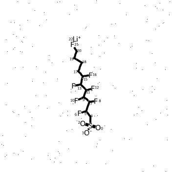 O=S(=O)([O-])CC(F)C(F)C(F)C(F)C(F)C(F)CCCCF.[Li+]